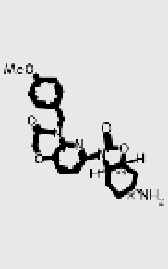 COc1ccc(CN2C(=O)COc3ccc(N4C(=O)O[C@@H]5C[C@H](N)CC[C@H]54)nc32)cc1